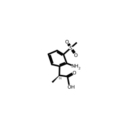 C[C@H](C(=O)O)c1cccc(S(C)(=O)=O)c1N